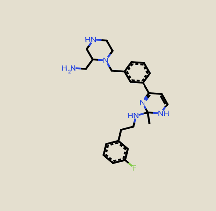 CC1(NCCc2cccc(F)c2)N=C(c2cccc(CN3CCNCC3CN)c2)C=CN1